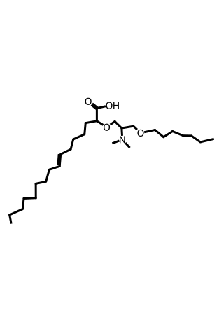 CCCCCCCCC=CCCCCC(OCC(COCCCCCCC)N(C)C)C(=O)O